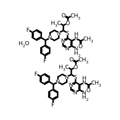 CC(=O)Nc1c(N)ncnc1SC(C(C)OC(C)=O)N1CCN(C(c2ccc(F)cc2)c2ccc(F)cc2)CC1.CC(=O)Nc1c(N)ncnc1SC(C(C)OC(C)=O)N1CCN(C(c2ccc(F)cc2)c2ccc(F)cc2)CC1.O